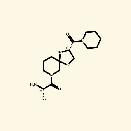 CC[C@H](N)C(=O)N1CCCC2(C1)N[C@H](C(=O)N1CCCCC1)CS2